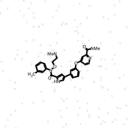 CNCCON(C(=O)c1cc(-c2cccc(Oc3ccnc(C(=O)NC)c3)c2)c[nH]1)c1cccc(C)c1